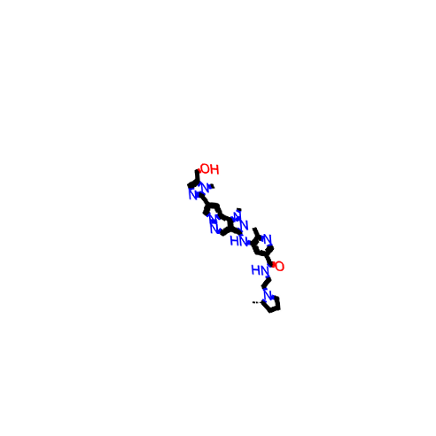 Cc1ncc(C(=O)NCCN2CCC[C@@H]2C)cc1Nc1nn(C)c2c1cnn1cc(-c3ncc(CO)n3C)cc21